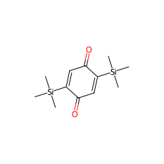 C[Si](C)(C)C1=CC(=O)C([Si](C)(C)C)=CC1=O